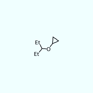 [CH2]CC(C[CH2])OC1CC1